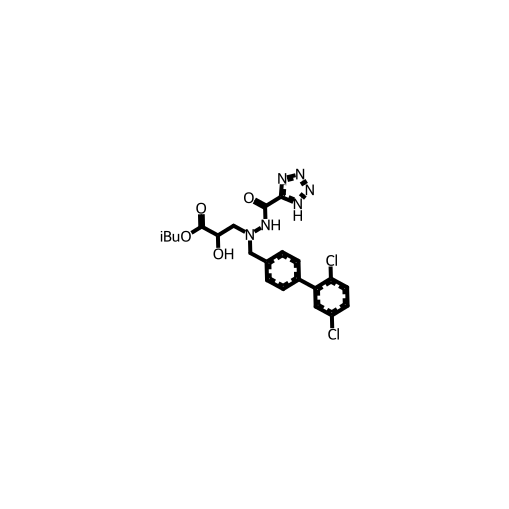 CC(C)COC(=O)C(O)CN(Cc1ccc(-c2cc(Cl)ccc2Cl)cc1)NC(=O)c1nnn[nH]1